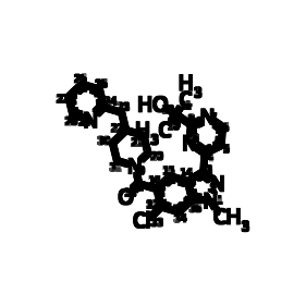 Cn1nc(-c2ccnc(C(C)(C)O)n2)c2cc(C(=O)N3CCC(Cc4ccccn4)CC3)c(Cl)cc21